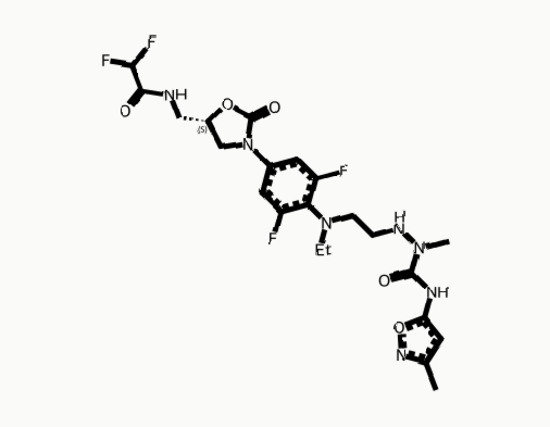 CCN(CCNN(C)C(=O)Nc1cc(C)no1)c1c(F)cc(N2C[C@H](CNC(=O)C(F)F)OC2=O)cc1F